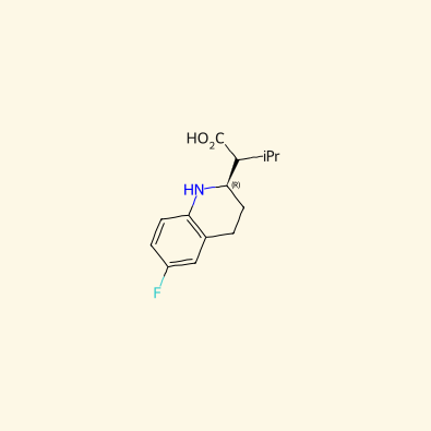 CC(C)C(C(=O)O)[C@H]1CCc2cc(F)ccc2N1